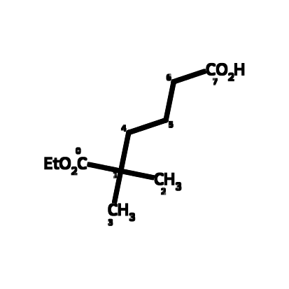 CCOC(=O)C(C)(C)CCCC(=O)O